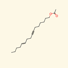 CCCC/C=C/CCC#CCCCCCCOC(C)=O